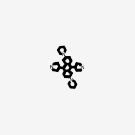 c1cc(-c2c3ccc(N4CCCCC4)cc3c(-c3ccncc3)c3ccc(N4CCCCC4)cc23)ccn1